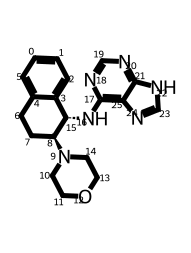 c1ccc2c(c1)CC[C@H](N1CCOCC1)[C@H]2Nc1ncnc2[nH]cnc12